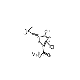 COC(=O)c1cc(C#C[Si](C)(C)C)c(O)cc1Cl